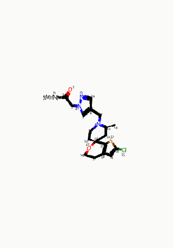 CNC(=O)Cn1cc(CN2CC[C@]3(C[C@@H]2C)OCCc2cc(Cl)sc23)cn1